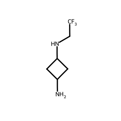 NC1CC(NCC(F)(F)F)C1